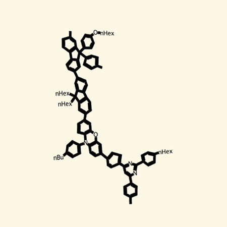 CCCCCCOc1ccc(C2(c3ccc(C)cc3)c3cc(C)ccc3-c3ccc(-c4ccc5c(c4)C(CCCCCC)(CCCCCC)c4cc(-c6ccc7c(c6)Oc6cc(-c8ccc(-c9cc(-c%10ccc(C)cc%10)nc(-c%10ccc(CCCCCC)cc%10)n9)cc8)ccc6N7c6ccc(CCCC)cc6)ccc4-5)cc32)cc1